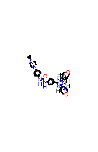 O=C(Nc1ccc(-c2nc(N3[C@@H]4COC[C@H]3[C@@H](F)C4)nc(N3[C@@H]4COC[C@H]3[C@@H](F)C4)n2)cc1)Nc1ccc(N2CCN(C3CC3)CC2)cc1